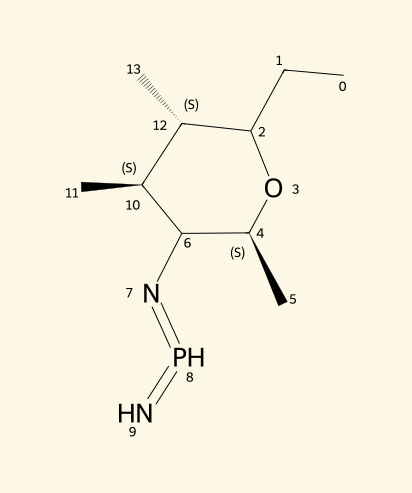 CCC1O[C@@H](C)C(N=[PH]=N)[C@@H](C)[C@@H]1C